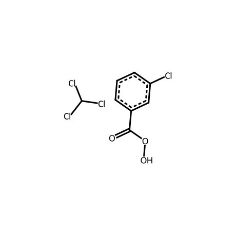 ClC(Cl)Cl.O=C(OO)c1cccc(Cl)c1